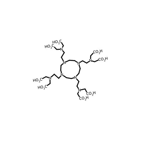 O=C(O)CN(CCN1CCN(CCN(CC(=O)O)CC(=O)O)CCN(CCN(CC(=O)O)CC(=O)O)CCN(CCN(CC(=O)O)CC(=O)O)CC1)CC(=O)O